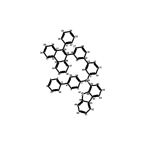 c1ccc(-c2ccc(N(c3cccc(-c4cccc(-c5c(-c6ccccc6)c6ccccc6c6ccccc56)c4)c3)c3cccc4c3sc3ccccc34)cc2)cc1